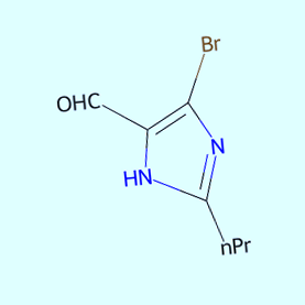 CCCc1nc(Br)c(C=O)[nH]1